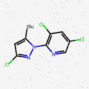 CC(C)(C)c1cc(Cl)nn1-c1ncc(Cl)cc1Cl